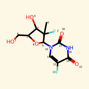 CC1(F)C(O)C(CO)OC1n1cc(F)c(=O)[nH]c1=O